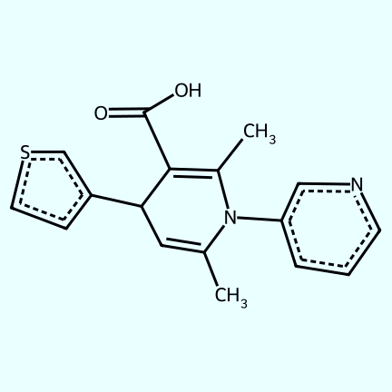 CC1=CC(c2ccsc2)C(C(=O)O)=C(C)N1c1cccnc1